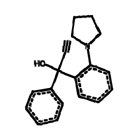 C#CC(O)(c1ccccc1)c1ccccc1N1CCCC1